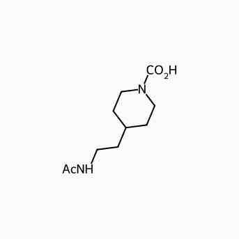 CC(=O)NCCC1CCN(C(=O)O)CC1